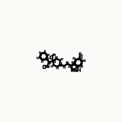 COC1(C(=S=O)c2ccccc2)CCN(CCc2c[nH]c3ccc(F)cc23)CC1